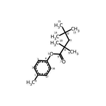 Cc1ccc(OC(=O)C(C)(C)CC(C)(C)C)cc1